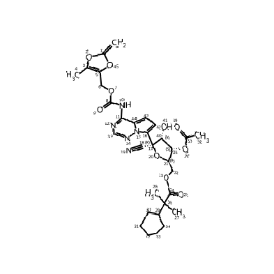 C=C1OC(C)=C(COC(=O)Nc2ncnn3c([C@]4(C#N)O[C@H](COC(=O)C(C)(C)C5CCCCC5)[C@@H](OC(C)=O)[C@H]4O)ccc23)O1